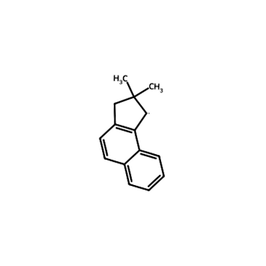 CC1(C)[CH]c2c(ccc3ccccc23)C1